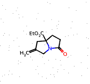 C=C1CN2C(=O)CCC2(C(=O)OCC)C1